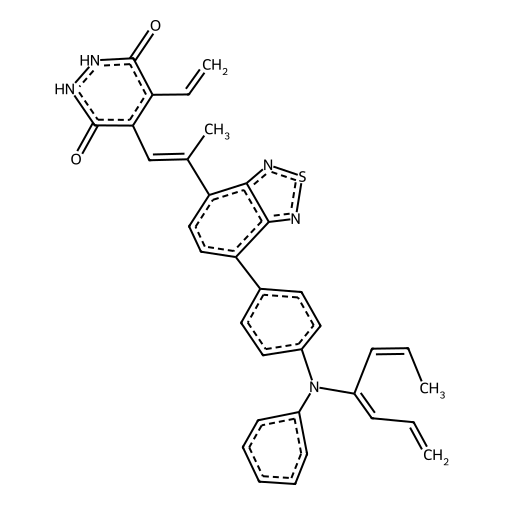 C=C/C=C(\C=C/C)N(c1ccccc1)c1ccc(-c2ccc(/C(C)=C/c3c(C=C)c(=O)[nH][nH]c3=O)c3nsnc23)cc1